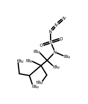 CC(C)(C)CC(C(C)(C)C)C(CC(C)(C)C)(C(C)(C)C)C(N(C(C)(C)C)S(=O)(=O)N=[N+]=[N-])(C(C)(C)C)C(C)(C)C